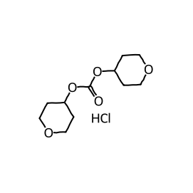 Cl.O=C(OC1CCOCC1)OC1CCOCC1